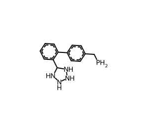 PCc1ccc(-c2ccccc2C2NNNN2)cc1